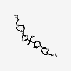 CC(c1ccc(-c2ccc(N)nc2)cc1)(c1noc(N2CCN(CCO)CC2)n1)C1CC1